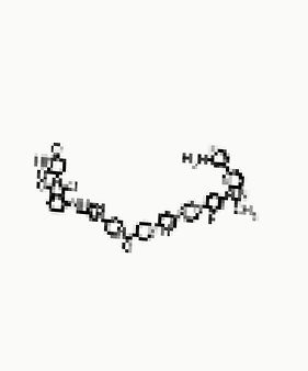 Cc1nc2ccc(-c3ccnc(N)c3)nc2n1-c1ccc(N2CCN(c3ccc(N4CCC(C(=O)N5CCC(n6cc(CNc7cccc8c7C(=O)N(C7CCC(=O)NC7=O)C8=O)cn6)CC5)CC4)nc3)CC2)c(F)c1